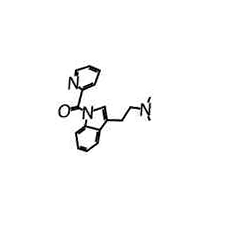 CN(C)CCc1cn(C(=O)c2ccccn2)c2ccccc12